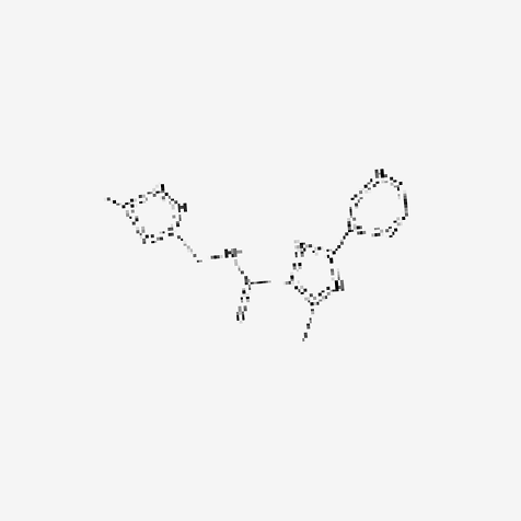 Cc1cc(CNC(=O)c2sc(-c3cccnc3)nc2C)no1